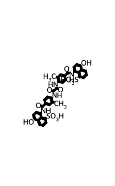 Cc1cc(C(=O)Nc2ccc(O)c3cccc(S(=O)(=O)O)c23)ccc1NC(=O)C(=O)Nc1ccc(C(=O)Nc2ccc(O)c3cccc(S(=O)(=O)O)c23)cc1C